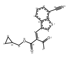 CC(=O)/C(=C\c1csc2c(C#N)cccc12)C(=O)OCC1CC1